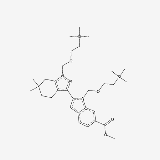 COC(=O)c1ccc2cc(-c3nn(COCC[Si](C)(C)C)c4c3CCC(C)(C)C4)n(COCC[Si](C)(C)C)c2c1